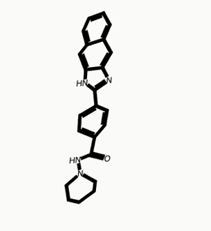 O=C(NN1CCCCC1)c1ccc(-c2nc3cc4ccccc4cc3[nH]2)cc1